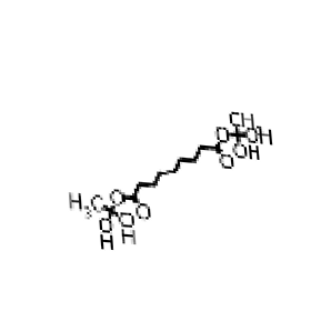 CC(O)(O)OC(=O)CCCCCCCC(=O)OC(C)(O)O